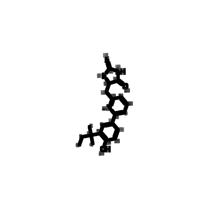 CCC(C)(C)c1cc(-c2cccc(CC3SC(=S)NC3=O)n2)ccc1O